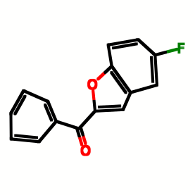 O=C(c1ccccc1)c1cc2cc(F)ccc2o1